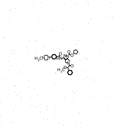 COC(C(=O)N1Cc2c(NC(=O)c3ccc(N4CCN(C)CC4)cc3)nn(C(=O)OC3CCCC3)c2C1)c1ccccc1